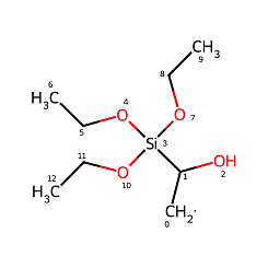 [CH2]C(O)[Si](OCC)(OCC)OCC